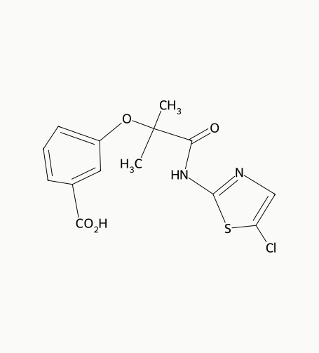 CC(C)(Oc1cccc(C(=O)O)c1)C(=O)Nc1ncc(Cl)s1